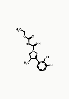 CCOC(=O)NC(=N)N1CC(C)C(c2cccc(Cl)c2O)=N1